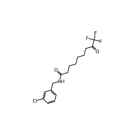 O=C(CCCCCCC(=O)C(F)(F)F)NCc1cccc(Cl)c1